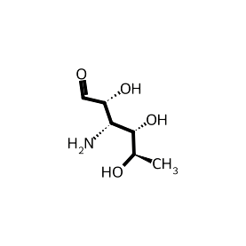 C[C@@H](O)[C@@H](O)[C@H](N)[C@@H](O)C=O